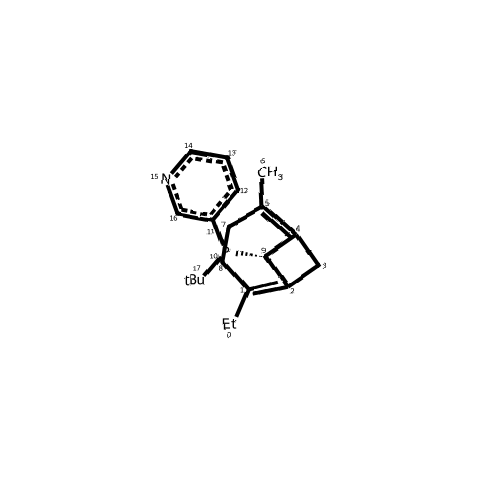 CCC1=C2CC(=C(C)CC1)[C@H]2P(c1cccnc1)C(C)(C)C